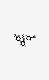 N#Cc1ccc(NC(=O)c2cc(C(F)(F)F)ccc2-c2ccccc2)cc1